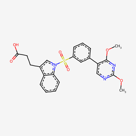 COc1ncc(-c2cccc(S(=O)(=O)n3cc(CCC(=O)O)c4ccccc43)c2)c(OC)n1